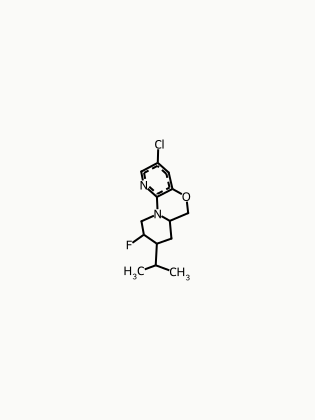 CC(C)C1CC2COc3cc(Cl)cnc3N2CC1F